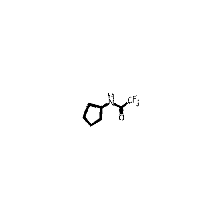 O=C(NC1CCCC1)C(F)(F)F